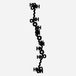 O=C(CCCCCCNC(=O)c1ccc(NCc2cn(Cc3cccc(Cn4cc(CNc5ccc(C(=O)NCCCCCCC(=O)NO)cc5)nn4)c3)nn2)cc1)NO